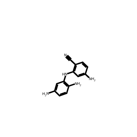 N#Cc1ccc(N)cc1Nc1cc(N)ccc1N